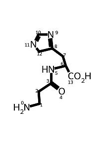 NCCC(=O)NC(CC1=NC=NC1)C(=O)O